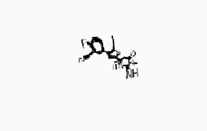 CN1C(=N)N[C@](C)(c2cc(-c3ccc(F)c(C#N)c3)c(I)s2)CC1=O